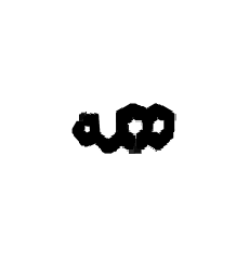 [c]1ccc2nc(Cc3ccsc3)ccc2c1